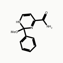 COC1(c2ccccc2)N=C(C(N)=O)C=CN1